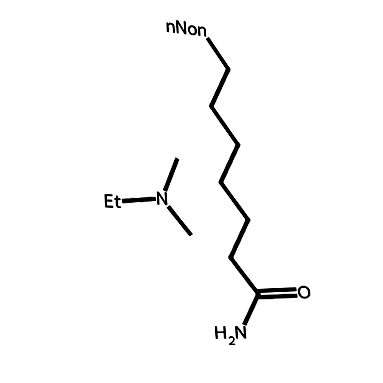 CCCCCCCCCCCCCCCC(N)=O.CCN(C)C